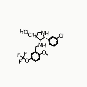 COc1ccc(OC(F)(F)F)cc1CN[C@@H]1CCN[C@@H]1c1cccc(Cl)c1.Cl.Cl